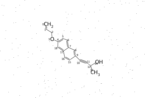 C=CCOc1ccc2cc(C#CC(C)O)ccc2c1